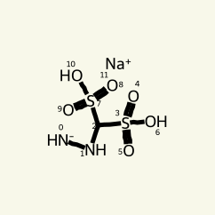 [NH-]NC(S(=O)(=O)O)S(=O)(=O)O.[Na+]